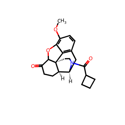 COc1ccc2c3c1OC1C(=O)CC[C@@H]4[C@H](C2)N(C(=O)C2CCC2)CC[C@@]314